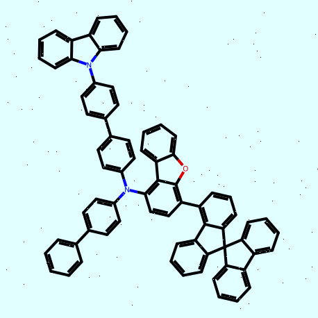 c1ccc(-c2ccc(N(c3ccc(-c4ccc(-n5c6ccccc6c6ccccc65)cc4)cc3)c3ccc(-c4cccc5c4-c4ccccc4C54c5ccccc5-c5ccccc54)c4oc5ccccc5c34)cc2)cc1